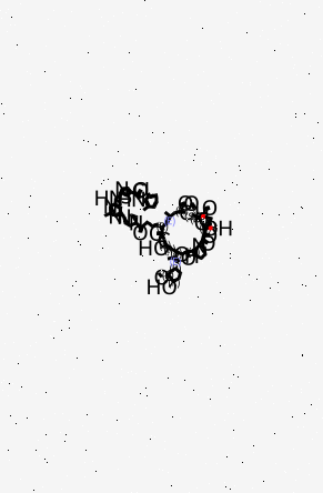 CO[C@@H]1C[C@H](/C=C(\C)[C@H]2OC(=O)[C@@H]3CCCCN3C(=O)C(=O)[C@]3(O)O[C@H]([C@@H](C=O)C[C@@H](C=O)C/C(C)=C/[C@@H](CCCC(=O)N4CCN(c5cc(Nc6ncc(C(=O)Nc7c(C)cccc7Cl)s6)nc(C)n5)CC4)C(=O)C[C@H](O)[C@H]2C)[C@@H](C=O)C[C@H]3C)CC[C@H]1O